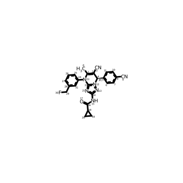 CC1=C(C#N)[C@@H](c2ccc(C#N)cc2)n2nc(NC(=O)C3CC3)nc2N1c1cccc(CF)c1